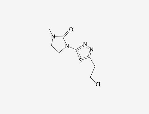 CN1CCN(c2nnc(CCCl)s2)C1=O